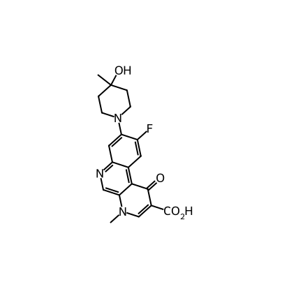 Cn1cc(C(=O)O)c(=O)c2c3cc(F)c(N4CCC(C)(O)CC4)cc3ncc21